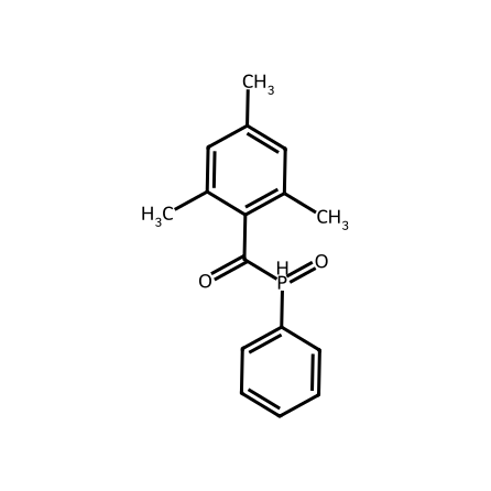 Cc1cc(C)c(C(=O)[PH](=O)c2ccccc2)c(C)c1